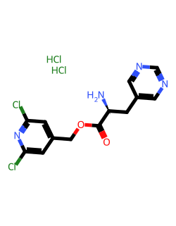 Cl.Cl.N[C@@H](Cc1cncnc1)C(=O)OCc1cc(Cl)nc(Cl)c1